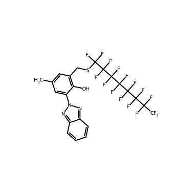 Cc1cc(CSC(F)(F)C(F)(F)C(F)(F)C(F)(F)C(F)(F)C(F)(F)C(F)(F)C(F)(F)F)c(O)c(-n2nc3ccccc3n2)c1